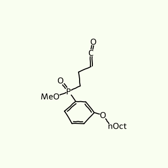 CCCCCCCCOc1cccc(P(=O)(CCC=C=O)OC)c1